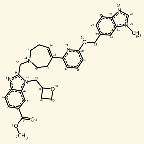 COC(=O)c1ccc2nc(CN3CCC=C(c4cccc(OCc5ccc6ncn(C)c6c5)n4)CC3)n(CC3CCO3)c2c1